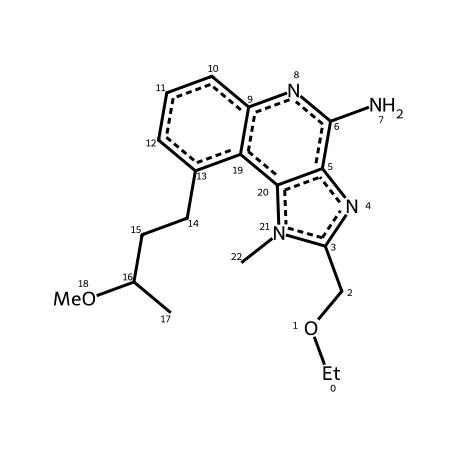 CCOCc1nc2c(N)nc3cccc(CCC(C)OC)c3c2n1C